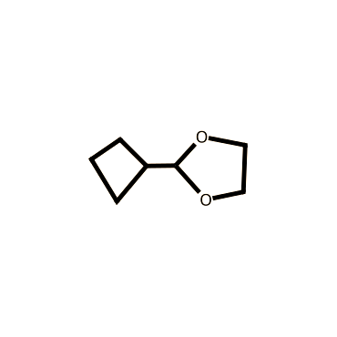 C1CC(C2OCCO2)C1